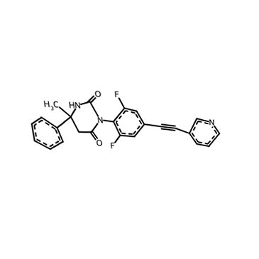 CC1(c2ccccc2)CC(=O)N(c2c(F)cc(C#Cc3cccnc3)cc2F)C(=O)N1